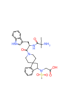 CC(C)(N)C(=O)N[C@H](Cc1c[nH]c2ccccc12)C(=O)N1CCC2(CC1)CC(N(CC(=O)O)S(C)(=O)=O)c1ccccc12